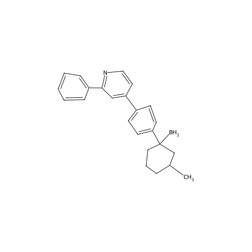 BC1(c2ccc(-c3ccnc(-c4ccccc4)c3)cc2)CCCC(C)C1